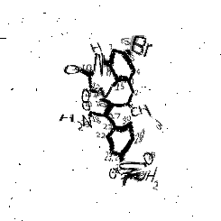 CC1Cc2cc(Br)cc3[nH]c(=O)c(=O)n(c23)C1C(C(N)=O)c1ccc(S(N)(=O)=O)cc1